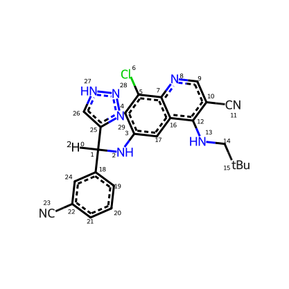 [2H]C(Nc1cc(Cl)c2ncc(C#N)c(NCC(C)(C)C)c2c1)(c1cccc(C#N)c1)c1c[nH]nn1